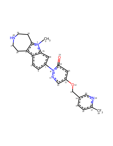 Cn1c2c(c3ccc(-n4ncc(OCc5ccc(C(F)(F)F)nc5)cc4=O)cc31)CCNCC2